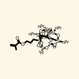 [3H][Si]12O[Si]3([3H])O[Si]4(CCCOC(=O)C(=C)C)O[Si]([3H])(O1)O[Si]1(CCC)O[Si](CCC)(O2)O[Si](CCC)(O3)O[Si](CCC)(O4)O1